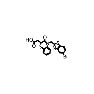 O=C(O)CC1Sc2ccccc2N(Cc2nc3cc(Br)ccc3s2)C1=O